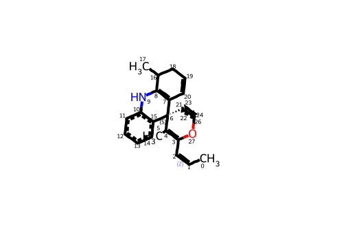 C/C=C\C1=C(C)[C@@]2(C3=C(Nc4ccccc42)C(C)CC=C3)c2ccccc2O1